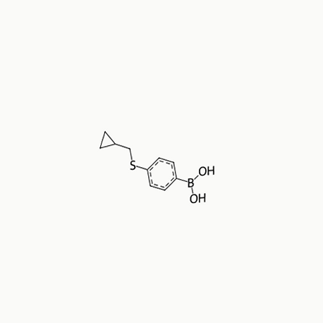 OB(O)c1ccc(SCC2CC2)cc1